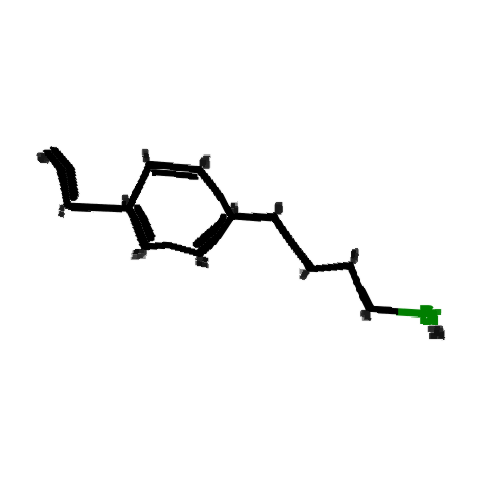 C=Cc1ccc(CCCCBr)cc1